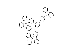 C1=CCCC(C2(c3ccccc3)c3ccccc3C3=CC=C(N(c4ccc(C5C=CC(n6c7c(c8ccccc86)C=CCC7)=CC5)cc4)c4ccc5c(c4)C(c4ccccc4)(C4C=CC=CC4)c4ccccc4-5)CC32)=C1